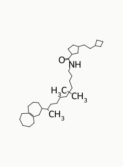 CC(CCCCC(C)(C)CCCCNC(=O)C1CCC(CCC2CCC2)C1)C1CCCC2=C(CCCCC2)C1